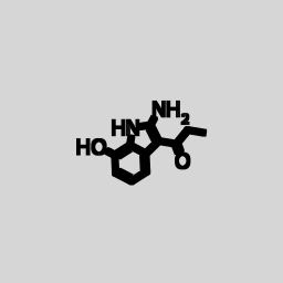 CCC(=O)c1c(N)[nH]c2c(O)cccc12